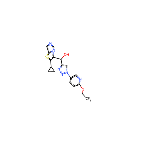 OC(c1cn(-c2ccc(OCC(F)(F)F)nc2)nn1)c1c(C2CC2)sc2cncn12